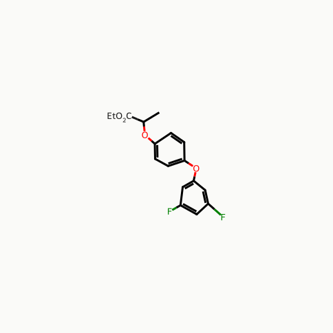 CCOC(=O)C(C)Oc1ccc(Oc2cc(F)cc(F)c2)cc1